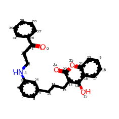 O=C(CCNc1cccc(CCCc2c(O)c3ccccc3oc2=O)c1)c1ccccc1